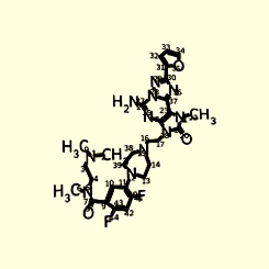 CN(C)CCN(C)C(=O)c1cc(N2CCN(CCn3c(=O)n(C)c4c3nc(N)n3nc(-c5ccco5)nc43)CC2)c(F)cc1F